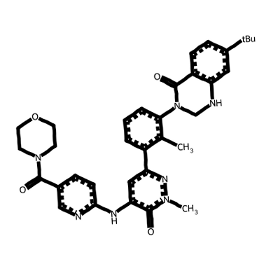 Cc1c(-c2cc(Nc3ccc(C(=O)N4CCOCC4)cn3)c(=O)n(C)n2)cccc1N1CNc2cc(C(C)(C)C)ccc2C1=O